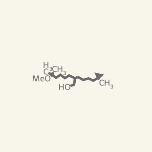 COC(C)(C)CCCCC(CO)CCCCC1(C)CC1